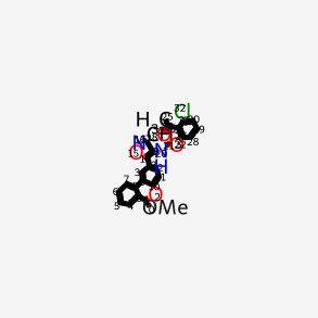 COC(=O)c1ccccc1-c1cccc(-c2onc(C)c2NC(=O)OC(C)c2ccccc2Cl)c1